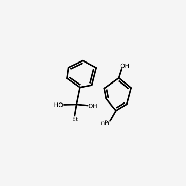 CCC(O)(O)c1ccccc1.CCCc1ccc(O)cc1